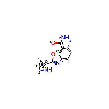 NC(=O)c1cccc2nc(C34CC(CN3)C4)oc12